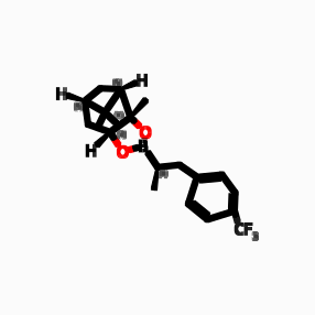 C[C@H](Cc1ccc(C(F)(F)F)cc1)B1O[C@@H]2C[C@@H]3C[C@@H](C3(C)C)[C@]2(C)O1